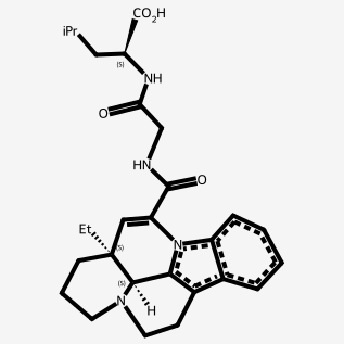 CC[C@@]12C=C(C(=O)NCC(=O)N[C@@H](CC(C)C)C(=O)O)n3c4c(c5ccccc53)CCN(CCC1)[C@H]42